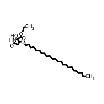 CCCCCCCCCCCCCCCCCCCCCCCCOC1CC(=O)N[C@]1(O)C(=O)OCCC